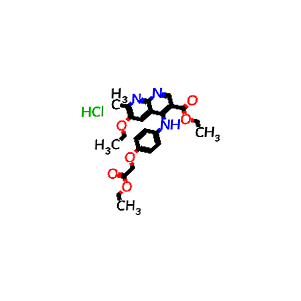 CCOC(=O)COc1ccc(Nc2c(C(=O)OCC)cnc3nc(C)c(OCC)cc23)cc1.Cl